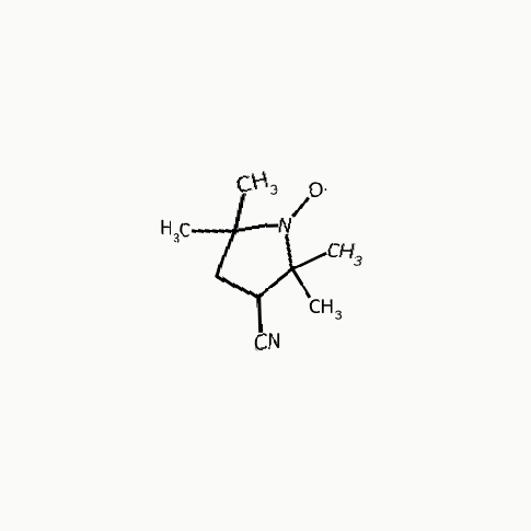 CC1(C)CC(C#N)C(C)(C)N1[O]